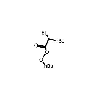 CCCCOOC(=O)[C@@H](CC)CCCC